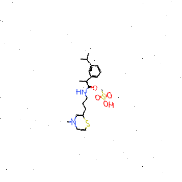 CC(C)c1cccc(C(C)C(=O)NCCCC2CN(C)CCS2)c1.CS(=O)(=O)O